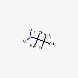 CCC(C)(C)C(C)(C)N(C)C(C)=O